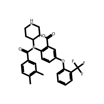 Cc1ccc(C(=O)N(c2ccc(Oc3ccccc3C(F)(F)F)cc2C(=O)O)C2CCNCC2)cc1C